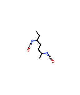 CCC(CCC(C)N=C=O)N=C=O